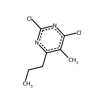 CCCc1nc(Cl)nc(Cl)c1C